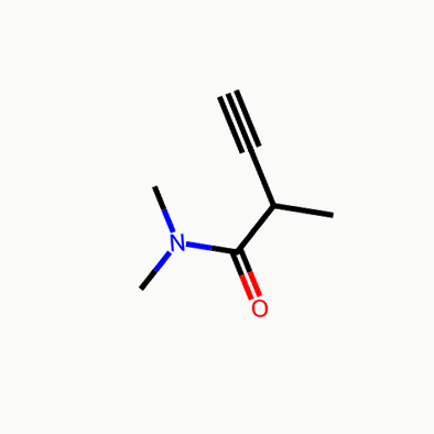 C#CC(C)C(=O)N(C)C